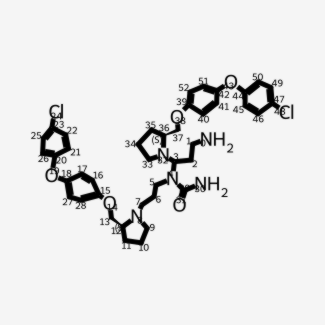 NCCC(N(CCCN1CCC[C@H]1COc1ccc(Oc2ccc(Cl)cc2)cc1)C(N)=O)N1CCC[C@H]1COc1ccc(Oc2ccc(Cl)cc2)cc1